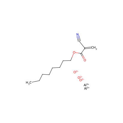 C=C(C#N)C(=O)OCCCCCCCC.[Al+3].[Al+3].[O-2].[O-2].[O-2]